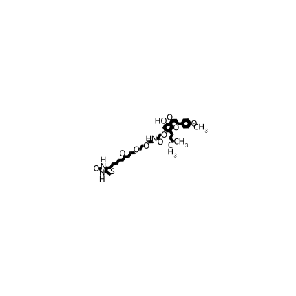 COc1ccc(-c2cc(=O)c3c(O)cc(OCC(=O)NCCOCCOCCCC(=O)CCCCC4SCC5NC(=O)NC54)c(CCC(C)C)c3o2)cc1